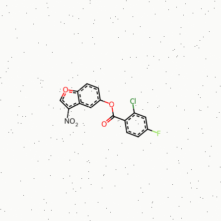 O=C(Oc1ccc2occ([N+](=O)[O-])c2c1)c1ccc(F)cc1Cl